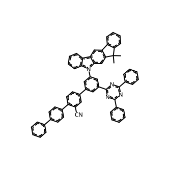 CC1(C)c2ccccc2-c2cc3c4ccccc4n(-c4cc(-c5ccc(-c6ccc(-c7ccccc7)cc6)c(C#N)c5)cc(-c5nc(-c6ccccc6)nc(-c6ccccc6)n5)c4)c3cc21